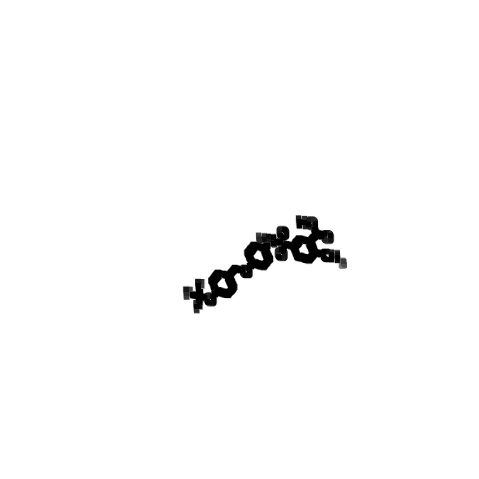 Cc1ccc(S(=O)(=O)Nc2ccc(OCc3ccc(OC(F)(F)F)cc3)cc2)cc1C(=O)O